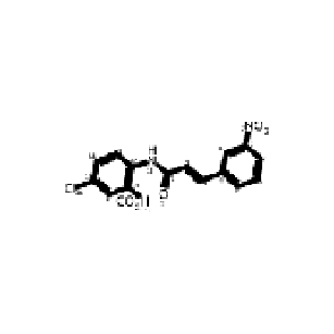 O=C(C=Cc1cccc([N+](=O)[O-])c1)Nc1ccc(Cl)cc1C(=O)O